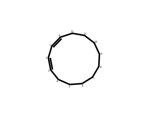 [C]1=CC=CCCCCCCCCC1